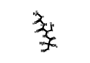 CC(C)(CS)C(=O)N[C@H](CS)C(=O)NC(=O)CN